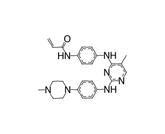 C=CC(=O)Nc1ccc(Nc2nc(Nc3ccc(N4CCN(C)CC4)cc3)ncc2C)cc1